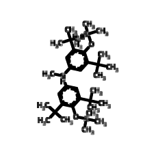 C[SiH](c1cc(C(C)(C)C)c(O[Si](C)(C)C)c(C(C)(C)C)c1)c1cc(C(C)(C)C)c(O[Si](C)(C)C)c(C(C)(C)C)c1